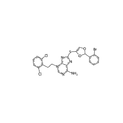 Nc1ncn(CCc2c(Cl)cccc2Cl)c2nc(SC3=COC(c4ccccc4Br)O3)nc1-2